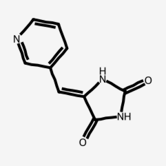 O=C1NC(=O)/C(=C/c2cccnc2)N1